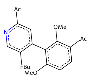 CCCCc1cnc(C(C)=O)cc1-c1c(OC)ccc(C(C)=O)c1OC